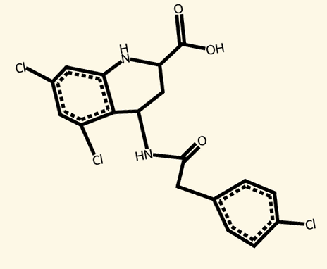 O=C(Cc1ccc(Cl)cc1)NC1CC(C(=O)O)Nc2cc(Cl)cc(Cl)c21